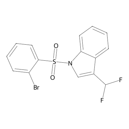 O=S(=O)(c1ccccc1Br)n1cc(C(F)F)c2ccccc21